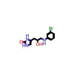 O=c1[nH]cc(CC(O)CNc2cccc(Br)c2)[nH]1